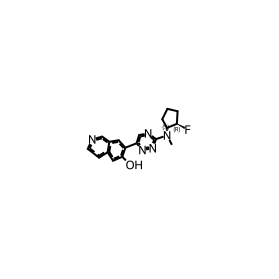 CN(c1ncc(-c2cc3cnccc3cc2O)nn1)[C@H]1CCC[C@H]1F